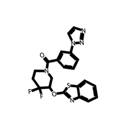 O=C(c1cccc(-n2ccnn2)c1)N1CCC(F)(F)C(Oc2nc3ccccc3s2)C1